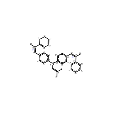 CC(C)=CN(c1ccc(/C=C(/C)C2=CC=CCC2)cc1)c1ccc(/C=C(/C)c2ccccc2)cc1